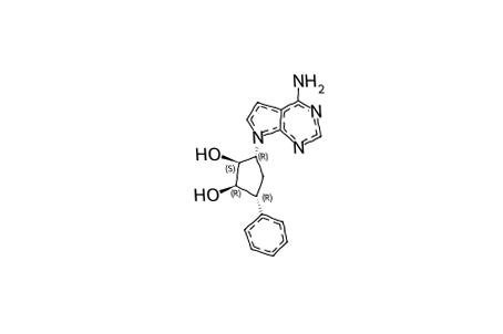 Nc1ncnc2c1ccn2[C@@H]1C[C@H](c2ccccc2)[C@@H](O)[C@H]1O